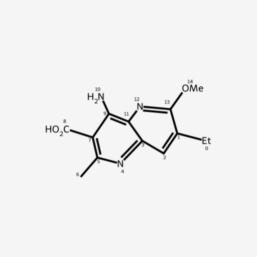 CCc1cc2nc(C)c(C(=O)O)c(N)c2nc1OC